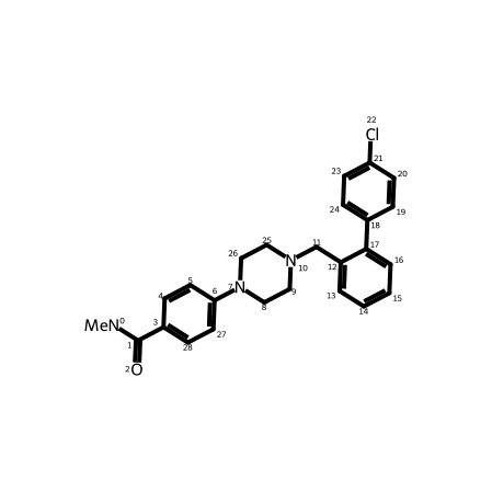 CNC(=O)c1ccc(N2CCN(Cc3ccccc3-c3ccc(Cl)cc3)CC2)cc1